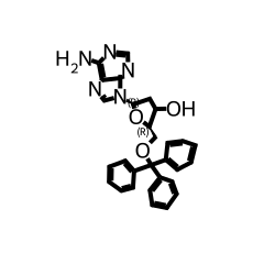 Nc1ncnc2c1ncn2[C@H]1CC(O)[C@@H](COC(c2ccccc2)(c2ccccc2)c2ccccc2)O1